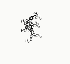 CCOC(COc1cc(C(C(=O)N2C[C@H](O)C[C@@H]2C(=O)N[C@@H](C)c2ccc(-c3scnc3C)cc2)C(C)C)on1)OCC